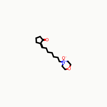 O=C1CCCC1=CCCCCCC[N+]1([O-])CCOCC1